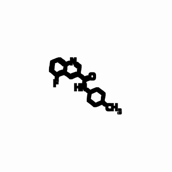 CC1CCC(NC(=O)c2cnc3cccc(F)c3c2)CC1